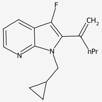 C=C(CCC)c1c(F)c2cccnc2n1CC1CC1